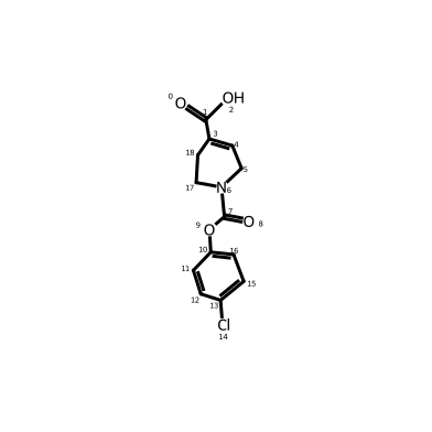 O=C(O)C1=CCN(C(=O)Oc2ccc(Cl)cc2)CC1